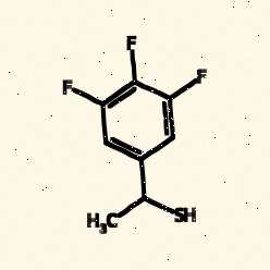 CC(S)c1cc(F)c(F)c(F)c1